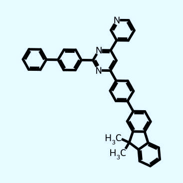 CC1(C)c2ccccc2-c2ccc(-c3ccc(-c4cc(-c5cccnc5)nc(-c5ccc(-c6ccccc6)cc5)n4)cc3)cc21